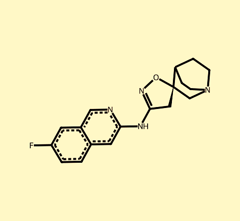 Fc1ccc2cc(NC3=NO[C@@]4(C3)CN3CCC4CC3)ncc2c1